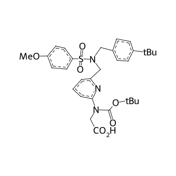 COc1ccc(S(=O)(=O)N(Cc2ccc(C(C)(C)C)cc2)Cc2cccc(N(CC(=O)O)C(=O)OC(C)(C)C)n2)cc1